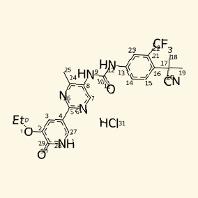 CCOc1cc(-c2ncc(NC(=O)Nc3ccc(C(C)(C)C#N)c(C(F)(F)F)c3)c(C)n2)c[nH]c1=O.Cl